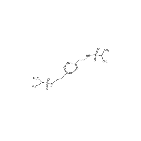 CC(C)S(=O)(=O)NCCc1ccc(CCNS(=O)(=O)C(C)C)cc1